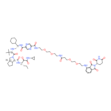 CCC[C@H](NC(=O)[C@@H]1C2CCC[C@H]2CN1C(=O)[C@@H](NC[C@@H](NC(=O)c1cnc(C(=O)NCCOCCOCCNC(=O)CCOCCOCCNc2cccc3c2C(=O)N(C2CCC(=O)NC2=O)C3=O)cn1)C1CCCCC1)C(C)(C)C)C(=O)C(=O)NC1CC1